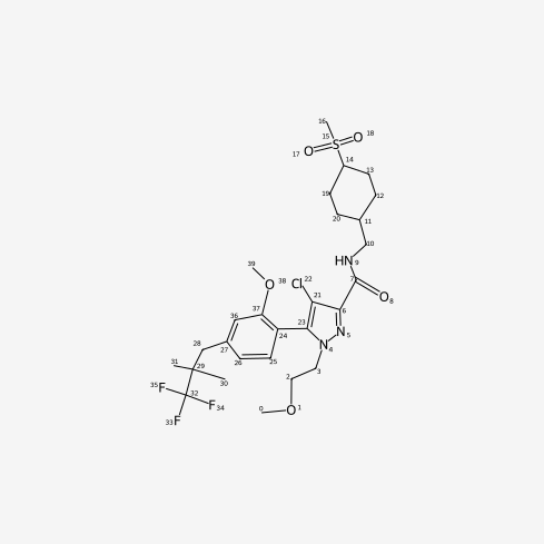 COCCn1nc(C(=O)NCC2CCC(S(C)(=O)=O)CC2)c(Cl)c1-c1ccc(CC(C)(C)C(F)(F)F)cc1OC